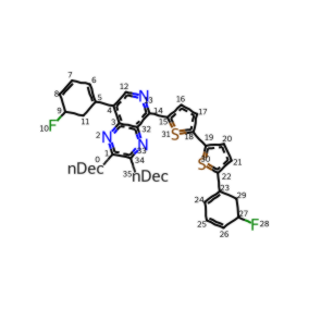 CCCCCCCCCCc1nc2c(C3=CC=CC(F)C3)cnc(-c3ccc(-c4ccc(C5=CC=CC(F)C5)s4)s3)c2nc1CCCCCCCCCC